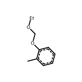 CCOCOc1ccccc1C